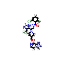 O=C(NCC(c1scnc1C(F)F)N1CCC(COc2nccn3cnnc23)CC1)c1c(F)cccc1Cl